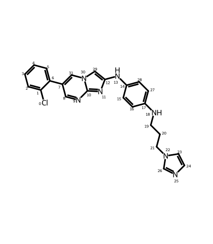 Clc1ccccc1-c1cnc2nc(Nc3ccc(NCCCn4ccnc4)cc3)cn2c1